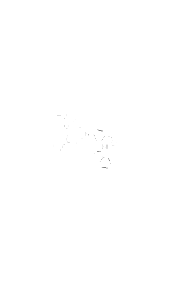 CC(=O)OCCN(CCOC(C)=O)c1ccc(C=O)c(NC(=O)c2ccccc2)c1